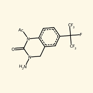 CC(=O)N1C(=O)N(N)Cc2cc(C(F)(C(F)(F)F)C(F)(F)F)ccc21